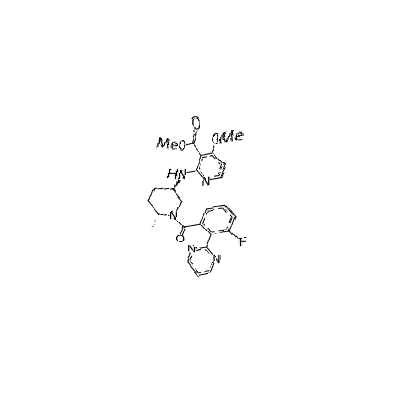 COC(=O)c1c(OC)ccnc1N[C@@H]1CC[C@@H](C)N(C(=O)c2cccc(F)c2-c2ncccn2)C1